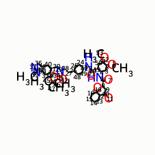 COc1cc(NC(=O)c2cc(=O)c3ccccc3o2)c(C(=O)Nc2ccc(CCN(Cc3ccc4c(cnn4C)c3)C(=O)OC(C)(C)C)cc2)cc1OC